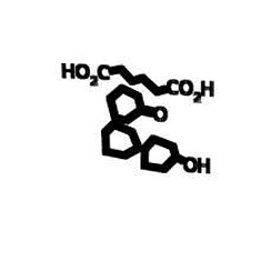 C1CCCCC1.O=C(O)CCCCC(=O)O.O=C1CCCCC1.OC1CCCCC1